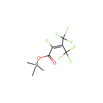 C[Si](C)(C)OC(=O)C(F)=C(C(F)(F)F)C(F)(F)F